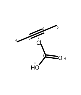 CC#CC.O=C(O)Cl